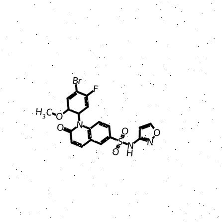 COC1C=C(Br)C(F)=CC1n1c(=O)ccc2cc(S(=O)(=O)Nc3ccon3)ccc21